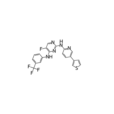 Fc1cnc(Nc2ccc(-c3ccsc3)cn2)nc1Nc1cccc(C(F)(F)F)c1